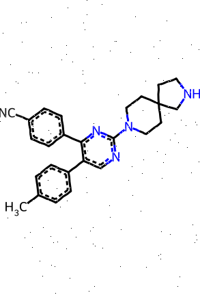 Cc1ccc(-c2cnc(N3CCC4(CCNC4)CC3)nc2-c2ccc(C#N)cc2)cc1